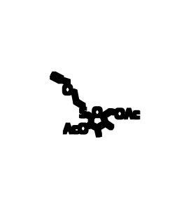 C#CCOCCCSC1OC(COC(C)=O)C(C)C(C)C1OC(C)=O